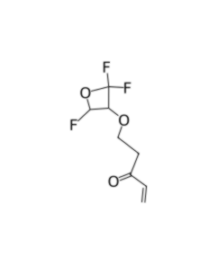 C=CC(=O)CCOC1C(F)OC1(F)F